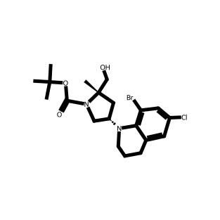 CC(C)(C)OC(=O)N1C[C@@H](N2CCCc3cc(Cl)cc(Br)c32)C[C@@]1(C)CO